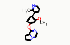 COc1cc(Oc2nccn3cccc23)ccc1-c1cccnc1C